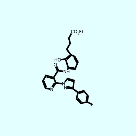 CCOC(=O)CCCc1cccc(NC(=O)c2cccnc2-n2ccc(-c3ccc(F)cc3)n2)c1O